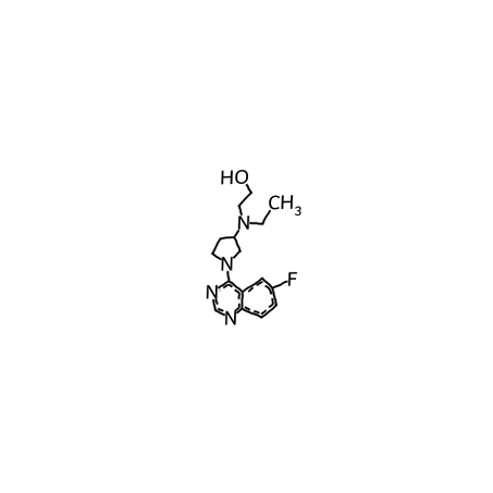 CCN(CCO)C1CCN(c2ncnc3ccc(F)cc23)C1